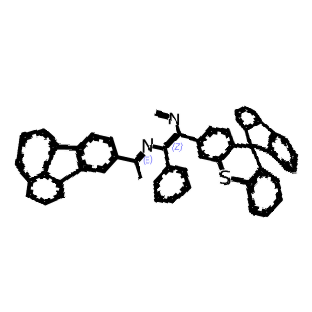 C=N/C(=C(\N=C(/C)c1ccc2c(c1)-c1cccc3cccc-2c13)c1ccccc1)c1ccc2c(c1)Sc1ccccc1C21c2ccccc2-c2ccccc21